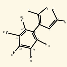 CC(C)=CC(=C(C)C)c1c(F)c(F)c(F)c(F)c1F